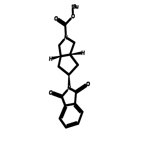 CC(C)(C)OC(=O)N1C[C@H]2C[C@H](N3C(=O)c4ccccc4C3=O)C[C@H]2C1